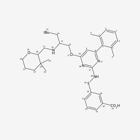 Cc1cccc(C)c1-c1cc(OCC(CC(C)(C)C)NCC2OCCCC2(C)C)nc(NSc2cccc(C(=O)O)c2)n1